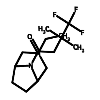 CCN1CC2CCC(C1)N2C(=O)CC(C)(C)C(F)(F)F